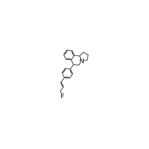 FC/C=C/c1ccc(C2CN3CCCC3c3ccccc32)cc1